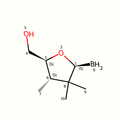 B[C@@H]1O[C@H](CO)[C@@H](C)C1(C)C